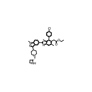 CCOC(=O)Cc1c(C)cc2nc(-c3ccc4c(c3)c(C3CCN(C[C@H]5CCN5)CC3)nn4C)sc2c1-c1ccc(Cl)cc1